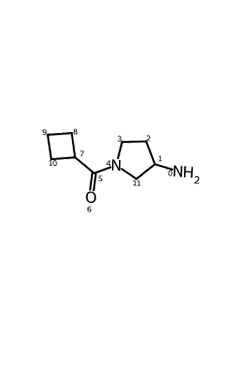 NC1CCN(C(=O)C2CCC2)C1